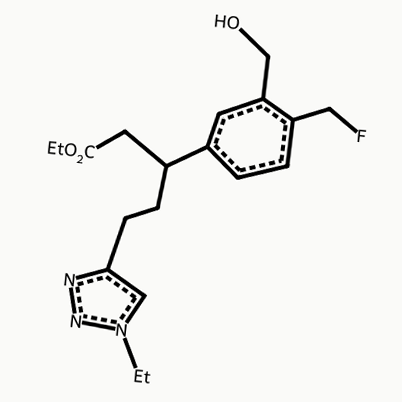 CCOC(=O)CC(CCc1cn(CC)nn1)c1ccc(CF)c(CO)c1